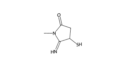 CN1C(=N)C(S)CC1=O